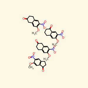 COc1cc2c(cc1[N+](=O)[O-])C(=O)CCC2.COc1cc2c(cc1[N+](=O)[O-])CC(=O)CC2.COc1cc2c(cc1[N+](=O)[O-])CCC(=O)C2.COc1cc2c(cc1[N+](=O)[O-])CCC2=O